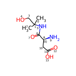 CC(C)(CO)NC(=O)[C@@H](N)CC(=O)O